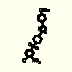 COc1ccc(-c2csc(N3CCN(S(=O)(=O)c4ccc(Cl)c([N+](=O)[O-])c4)CC3)n2)cc1